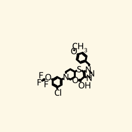 COc1ccc(Cn2nnc(C(=O)O)c2SC2CCN(c3cc(Cl)cc(OC(F)(F)F)c3)CC2)cc1